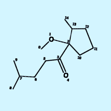 COC1(C(=O)CCC(C)C)CCCC1C